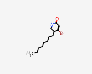 CCCCCCCCC1C=NC(=O)C=C1Br